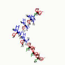 CNC(OC)=[N+](C)C.CNC(OC)=[N+](C)C.CNC(OC)=[N+](C)C.CNC(OC)=[N+](C)C.O=C([O-])F.O=C([O-])F.O=C([O-])F.O=C([O-])F